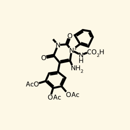 CC(=O)Oc1cc(C2=C(N)[N+](NC(=O)O)(c3ccccc3)C(=O)N(C)C2=O)cc(OC(C)=O)c1OC(C)=O